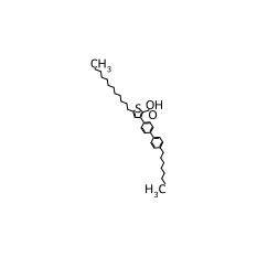 CCCCCCCCCCCCc1cc(-c2ccc(-c3ccc(CCCCCCCC)cc3)cc2)c(C(=O)O)s1